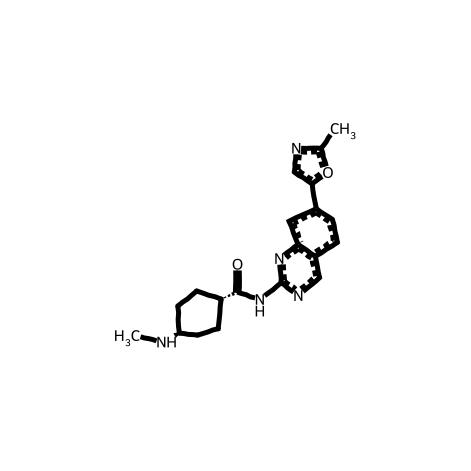 CN[C@H]1CC[C@H](C(=O)Nc2ncc3ccc(-c4cnc(C)o4)cc3n2)CC1